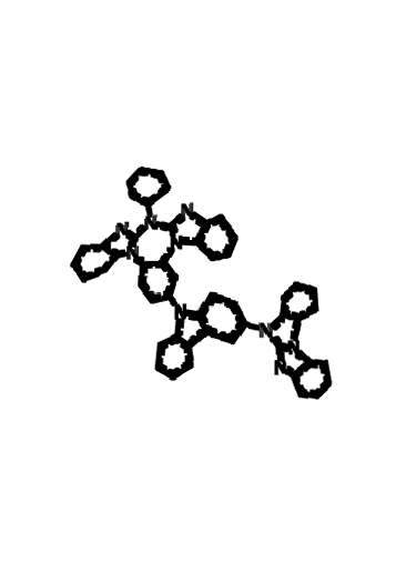 c1ccc(-n2c3nc4ccccc4n3c3ccc(-n4c5ccccc5c5cc(-n6c7ccccc7n7c8ccccc8nc67)ccc54)cc3n3c4ccccc4nc23)cc1